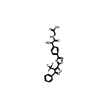 O=C(O)CNC(=O)C(O)c1ccc(-c2noc(-c3onc(-c4ccccc4)c3C(F)(F)F)n2)cc1